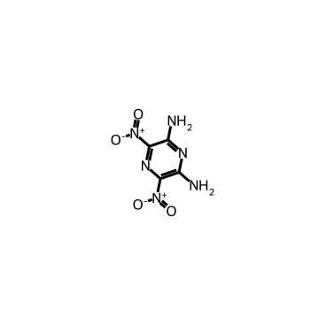 Nc1nc(N)c([N+](=O)[O-])nc1[N+](=O)[O-]